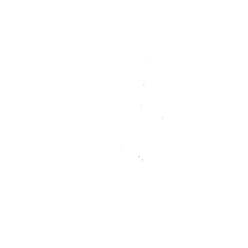 C=C=C(N)/C=C(\CC)C1CC1